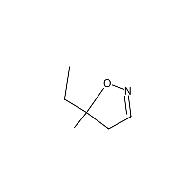 CCC1(C)CC=NO1